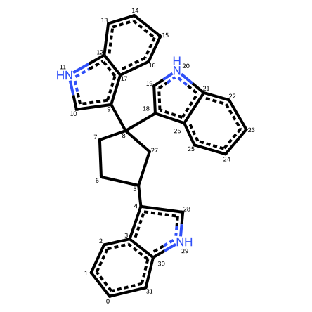 c1ccc2c(C3CCC(c4c[nH]c5ccccc45)(c4c[nH]c5ccccc45)C3)c[nH]c2c1